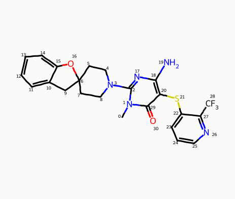 Cn1c(N2CCC3(CC2)Cc2ccccc2O3)nc(N)c(Sc2cccnc2C(F)(F)F)c1=O